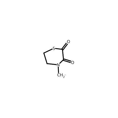 [CH2]N1CCSC(=O)C1=O